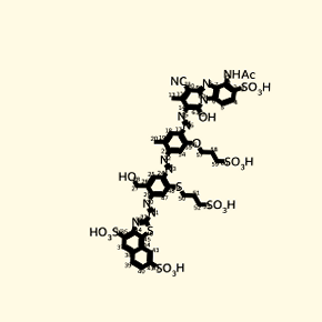 CC(=O)Nc1c(S(=O)(=O)O)ccc2c1nc1c(C#N)c(C)c(N=Nc3cc(C)c(N=Nc4cc(CO)c(N=Nc5nc6c(S(=O)(=O)O)cc7ccc(S(=O)(=O)O)cc7c6s5)cc4SCCCS(=O)(=O)O)cc3OCCCS(=O)(=O)O)c(O)n12